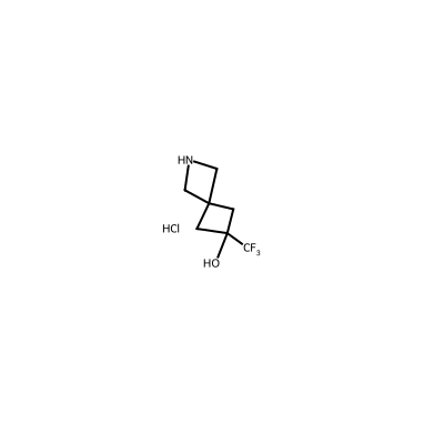 Cl.OC1(C(F)(F)F)CC2(CNC2)C1